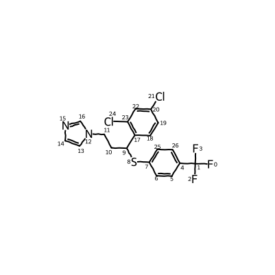 FC(F)(F)c1ccc(SC(CCn2ccnc2)c2ccc(Cl)cc2Cl)cc1